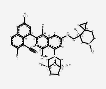 C#Cc1c(F)ccc2cc(O)cc(-c3nc(OC)c4c(N5C[C@H]6CC[C@@H](C5)N6)nc(OC[C@]5(C)CN(CC)CCC56CC6)nc4c3F)c12